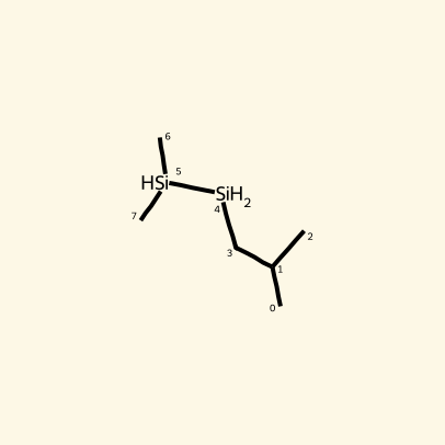 CC(C)C[SiH2][SiH](C)C